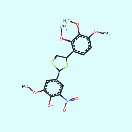 COc1cc(C2SCC(c3ccc(OC)c(OC)c3OC)S2)cc([N+](=O)[O-])c1O